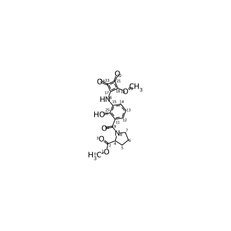 COC(=O)C1CCCN1C(=O)c1cccc(Nc2c(OC)c(=O)c2=O)c1O